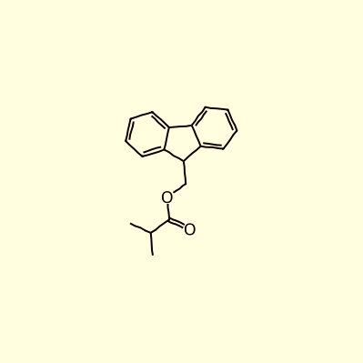 CC(C)C(=O)OCC1c2ccccc2-c2ccccc21